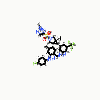 Cc1cc(Nc2ccc(F)cc2)c(C=N)cc1[C@]12CN(S(=O)(=O)c3cnn(C)n3)C[C@H]1[C@H]2c1cccc(C(F)(F)F)c1